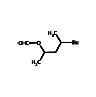 CCC(C)C(C)CC(C)O[C]=O